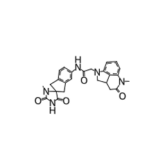 CN1C(=O)CC2CN(CC(=O)Nc3ccc4c(c3)CC3(C4)C(=O)NC(=O)N3C)c3cccc1c32